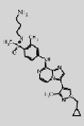 Cc1cc(Nc2nccn3c(-c4cn(CC5CC5)nc4C(F)(F)F)cnc23)ccc1S(C)(=O)=NCCCN